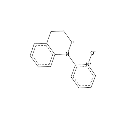 [O-][n+]1ccccc1N1[C]CCc2ccccc21